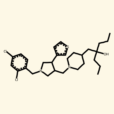 CCCC(O)(CCC)CC1CCN(CC2CN(Cc3ccc(Cl)cc3Cl)CC2c2ccsc2)CC1